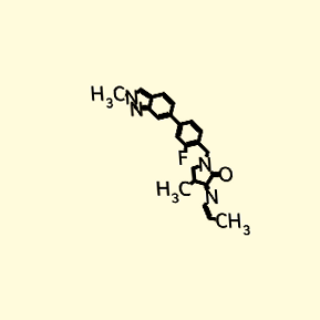 C/C=C\N=C1\C(=O)N(Cc2ccc(-c3ccc4cn(C)nc4c3)cc2F)CC1C